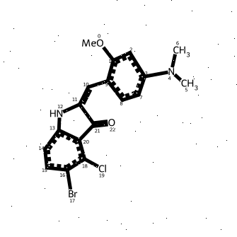 COc1cc(N(C)C)ccc1C=C1Nc2ccc(Br)c(Cl)c2C1=O